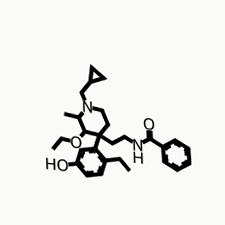 CCOC1C(C)N(CC2CC2)CCC1(CCNC(=O)c1ccccc1)c1cc(O)ccc1CC